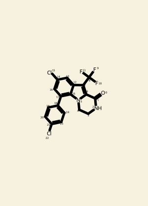 O=C1NCCn2c1c(C(F)(F)F)c1cc(Cl)cc(-c3ccc(Cl)cc3)c12